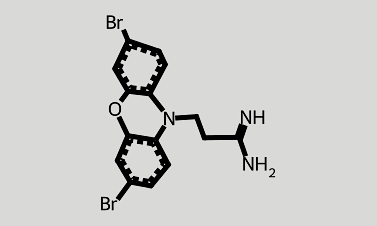 N=C(N)CCN1c2ccc(Br)cc2Oc2cc(Br)ccc21